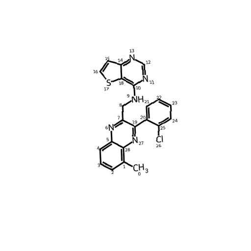 Cc1cccc2nc(CNc3ncnc4ccsc34)c(-c3ccccc3Cl)nc12